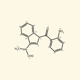 CN(C=O)c1nn(C(=O)c2ccccc2[N+](=O)[O-])c2ccccc12